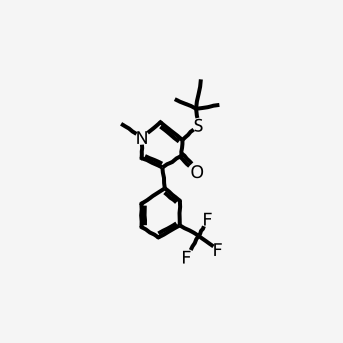 Cn1cc(SC(C)(C)C)c(=O)c(-c2cccc(C(F)(F)F)c2)c1